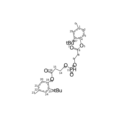 Cc1ccc(OC(=O)CCO[PH](=O)OCCC(=O)Oc2ccc(C)cc2C(C)(C)C)c(C(C)(C)C)c1